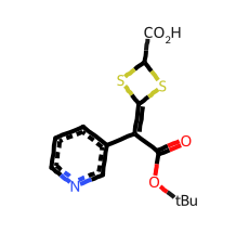 CC(C)(C)OC(=O)C(=C1SC(C(=O)O)S1)c1cccnc1